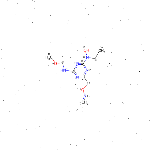 C=NOCc1nc(NCOC)nc(N(O)CC)n1